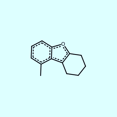 Cc1cccc2oc3c(c12)CCCC3